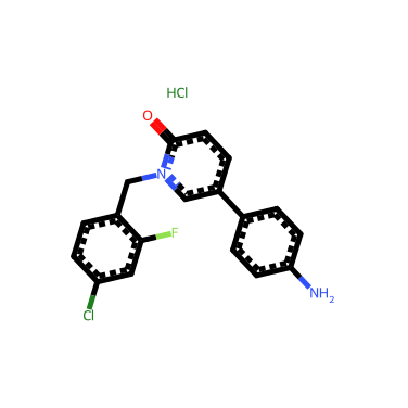 Cl.Nc1ccc(-c2ccc(=O)n(Cc3ccc(Cl)cc3F)c2)cc1